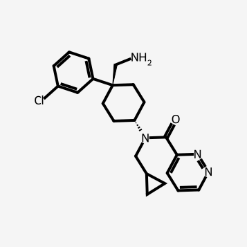 NC[C@]1(c2cccc(Cl)c2)CC[C@@H](N(CC2CC2)C(=O)c2cccnn2)CC1